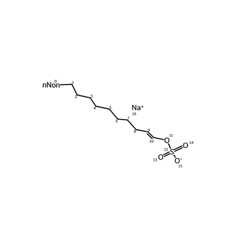 CCCCCCCCCCCCCCCCC/C=C/OS(=O)(=O)[O-].[Na+]